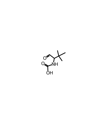 CC(C)(C)C(C=O)NC(=O)O